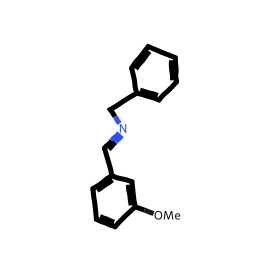 COc1cccc(C=NCc2ccccc2)c1